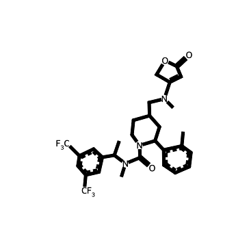 Cc1ccccc1C1CC(CN(C)C2=CC(=O)OC2)CCN1C(=O)N(C)C(C)c1cc(C(F)(F)F)cc(C(F)(F)F)c1